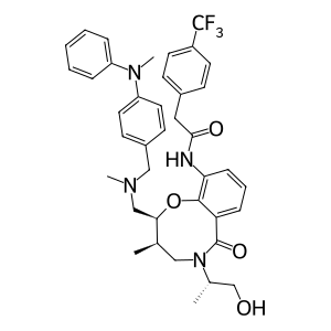 C[C@@H]1CN([C@@H](C)CO)C(=O)c2cccc(NC(=O)Cc3ccc(C(F)(F)F)cc3)c2O[C@@H]1CN(C)Cc1ccc(N(C)c2ccccc2)cc1